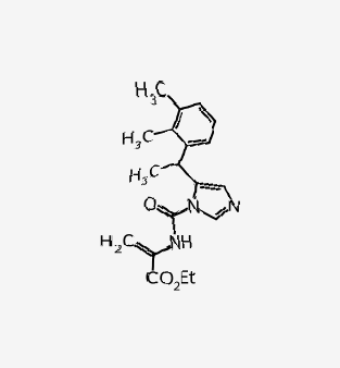 C=C(NC(=O)n1cncc1C(C)c1cccc(C)c1C)C(=O)OCC